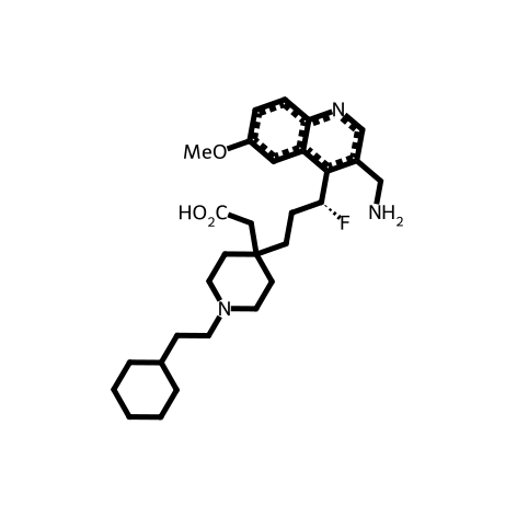 COc1ccc2ncc(CN)c([C@H](F)CCC3(CC(=O)O)CCN(CCC4CCCCC4)CC3)c2c1